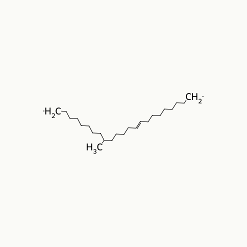 [CH2]CCCCCCCC=CCCCCC(C)CCCCCCC[CH2]